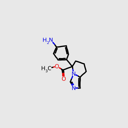 COC(=O)C1(c2ccc(N)cc2)CCCc2cncn21